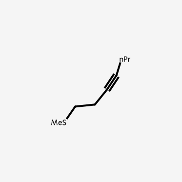 CCCC#CCCSC